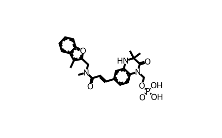 Cc1c(CN(C)C(=O)C=Cc2ccc3c(c2)NC(C)(C)C(=O)N3COP(=O)(O)O)oc2ccccc12